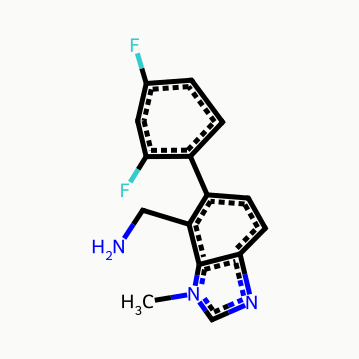 Cn1cnc2ccc(-c3ccc(F)cc3F)c(CN)c21